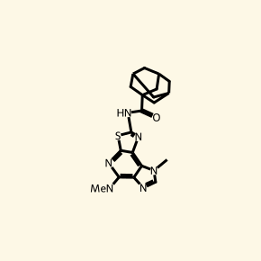 CNc1nc2sc(NC(=O)C34CC5CC(CC(C5)C3)C4)nc2c2c1ncn2C